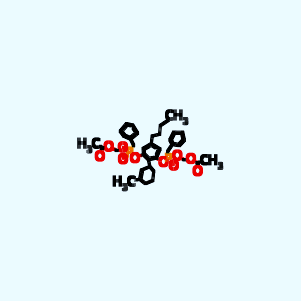 CCCCCc1cc(OP(=O)(Cc2ccccc2)OCOC(C)=O)c(C2C=C(C)CCC2)c(OP(=O)(Cc2ccccc2)OCOC(C)=O)c1